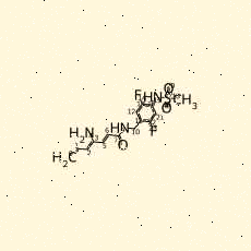 C=C/C=C(N)/C=C/C(=O)NCc1cc(F)c(NS(C)(=O)=O)cc1F